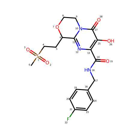 CS(=O)(=O)CCC1OCCn2c1nc(C(=O)NCc1ccc(F)cc1)c(O)c2=O